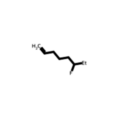 C=CCCCC(F)CC